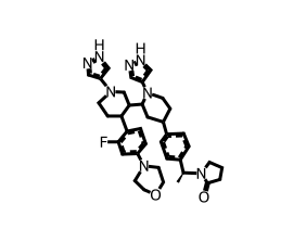 C[C@@H](c1ccc(C2CCN(c3cn[nH]c3)C(C3CN(c4cn[nH]c4)CCC3c3ccc(N4CCOCC4)cc3F)C2)cc1)N1CCCC1=O